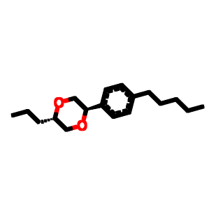 CCCCCc1ccc([C@@H]2CO[C@@H](CCC)CO2)cc1